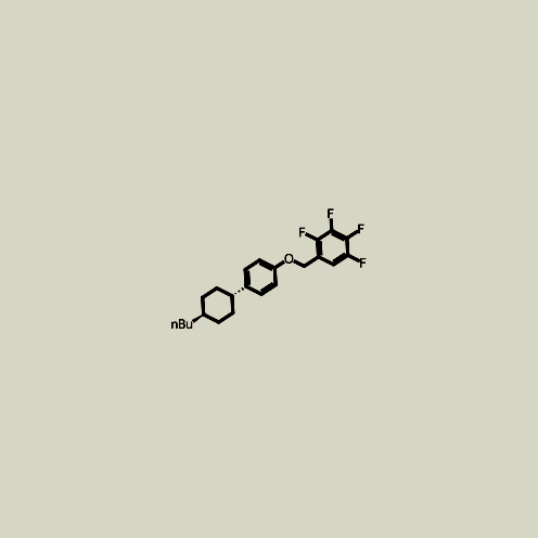 CCCC[C@H]1CC[C@H](c2ccc(OCc3cc(F)c(F)c(F)c3F)cc2)CC1